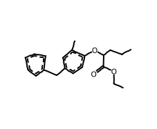 CCCC(Oc1ccc(Cc2ccccc2)cc1C)C(=O)OCC